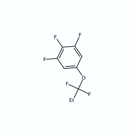 CCC(F)(F)Oc1cc(F)c(F)c(F)c1